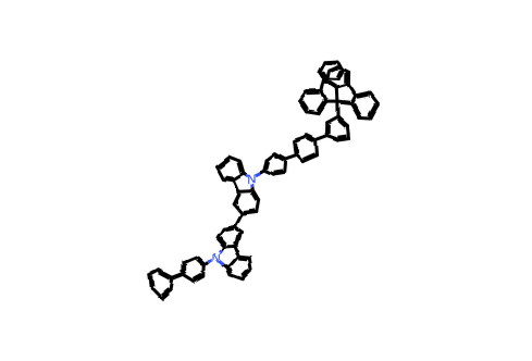 c1ccc(-c2ccc(-n3c4ccccc4c4cc(-c5ccc6c(c5)c5ccccc5n6-c5ccc(-c6ccc(-c7cccc(C8(c9ccccc9-c9ccccc9)c9ccccc9-c9ccccc98)c7)cc6)cc5)ccc43)cc2)cc1